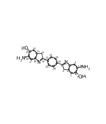 Nc1cc2c(cc1O)CC(c1ccc(C3=Nc4cc(N)c(O)cc4C3)cc1)=N2